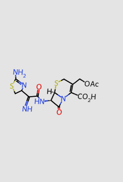 CC(=O)OCC1=C(C(=O)O)N2C(=O)[C@@H](NC(=O)C(=N)C3CSC(N)=N3)[C@H]2SC1